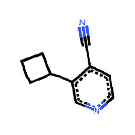 N#Cc1ccncc1C1CCC1